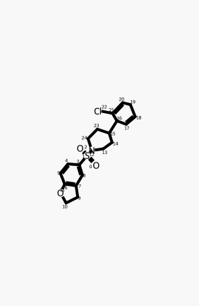 O=S(=O)(c1ccc2c(c1)CCO2)N1CCC(C2C=CCC=C2Cl)CC1